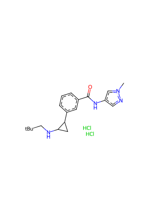 Cl.Cl.Cn1cc(NC(=O)c2cccc(C3CC3NCC(C)(C)C)c2)cn1